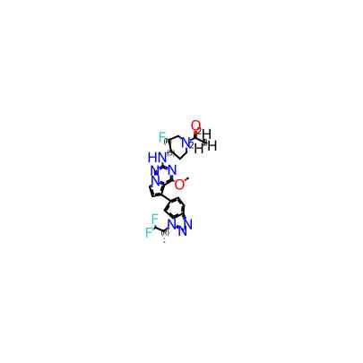 [2H]C([2H])([2H])C(=O)N1CC[C@H](Nc2nc(OC)c3c(-c4ccc5nnn([C@H](C)C(F)F)c5c4)ccn3n2)[C@H](F)C1